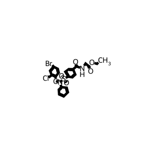 CCOC(=O)CNC(=O)c1ccc(S(=O)(=O)N(Oc2ccc(Br)cc2Cl)c2ccccc2)cc1